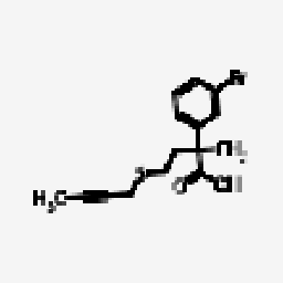 CC#CCSCCC(C)(C(=O)O)c1cccc(Br)c1